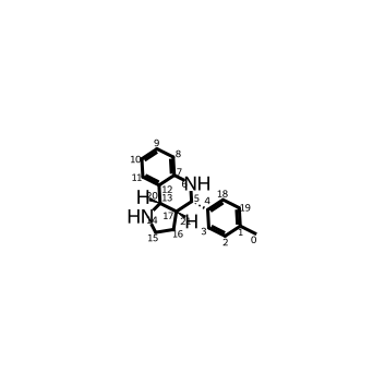 Cc1ccc([C@H]2Nc3ccccc3[C@H]3NCC[C@@H]23)cc1